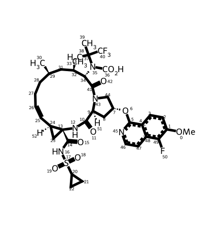 COc1ccc2c(O[C@@H]3C[C@H]4C(=O)N[C@]5(C(=O)NS(=O)(=O)C6CC6)C[C@H]5C=CCC[C@@H](C)C[C@@H](C)[C@H](N(C(=O)O)C(C)(C)C(F)(F)F)C(=O)N4C3)nccc2c1F